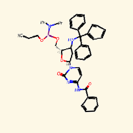 CC(C)N(C(C)C)P(OCCC#N)OC[C@H]1O[C@@H](n2ccc(NC(=O)c3ccccc3)nc2=O)CC1NC(c1ccccc1)(c1ccccc1)c1ccccc1